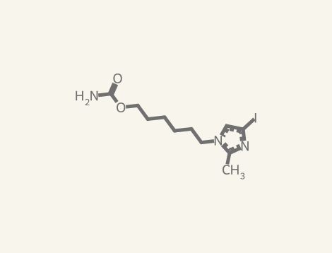 Cc1nc(I)cn1CCCCCCOC(N)=O